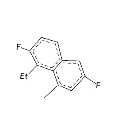 CCc1c(F)ccc2cc(F)cc(C)c12